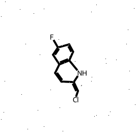 Fc1ccc2c(c1)C=CC(=CCl)N2